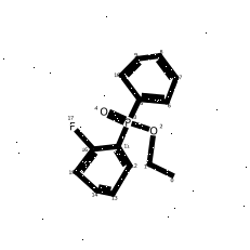 CCOP(=O)(c1ccccc1)c1ccccc1F